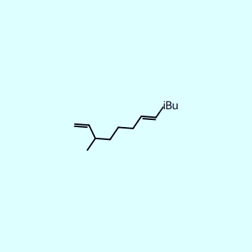 C=CC(C)CCCC=CC(C)CC